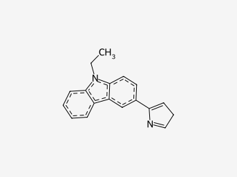 CCn1c2ccccc2c2cc(C3=CCC=N3)ccc21